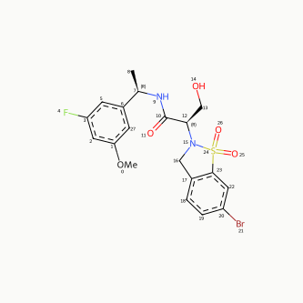 COc1cc(F)cc([C@@H](C)NC(=O)[C@@H](CO)N2Cc3ccc(Br)cc3S2(=O)=O)c1